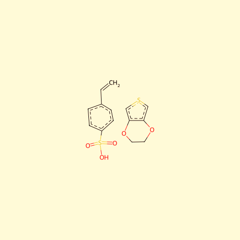 C=Cc1ccc(S(=O)(=O)O)cc1.c1scc2c1OCCO2